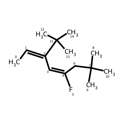 C/C=C(\C=C(\F)CC(C)(C)C)C(C)(C)C